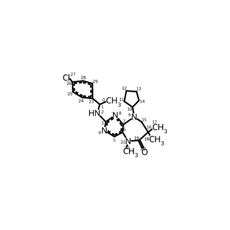 CC(Nc1ncc2c(n1)N(C1CCCC1)CC(C)(C)C(=O)N2C)c1ccc(Cl)cc1